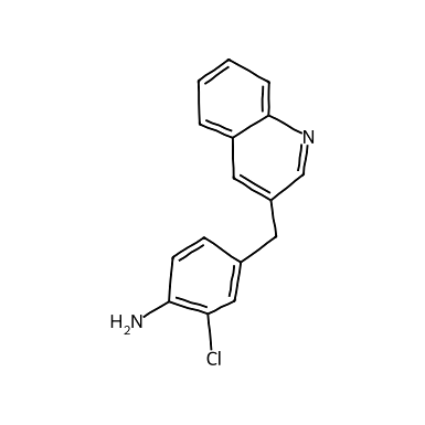 Nc1ccc(Cc2cnc3ccccc3c2)cc1Cl